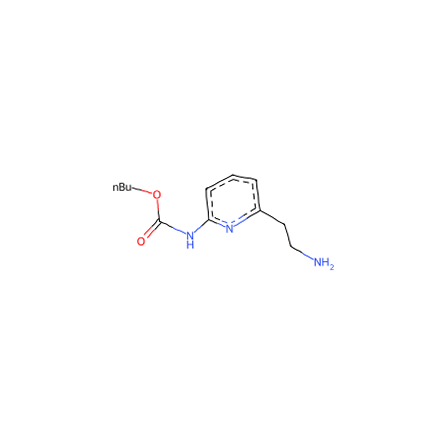 CCCCOC(=O)Nc1cccc(CCN)n1